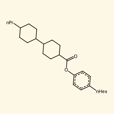 CCCCCCc1ccc(OC(=O)C2CCC(C3CCC(CCC)CC3)CC2)cc1